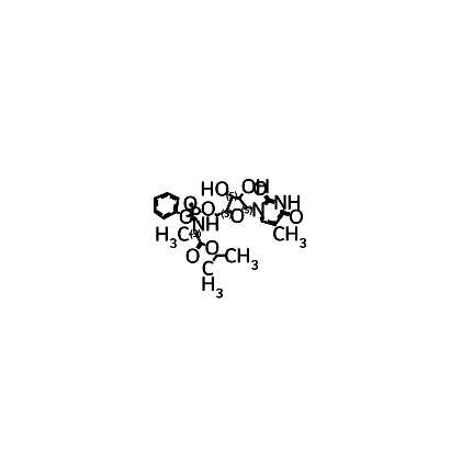 Cc1cn([C@H]2O[C@@H](COP(=O)(N[C@@H](C)C(=O)OC(C)C)Oc3ccccc3)[C@@H](O)C2O)c(=O)[nH]c1=O